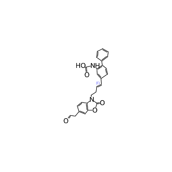 O=CCc1ccc2c(c1)oc(=O)n2CC/C=C/c1ccc(-c2ccccc2)c(NC(=O)O)c1